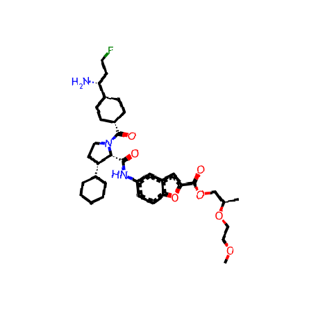 COCCO[C@H](C)COC(=O)c1cc2cc(NC(=O)[C@@H]3[C@H](C4CCCCC4)CCN3C(=O)[C@H]3CC[C@H]([C@H](N)CCF)CC3)ccc2o1